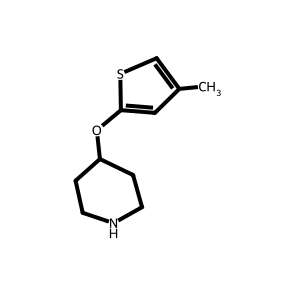 Cc1csc(OC2CCNCC2)c1